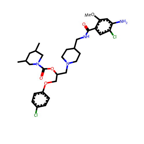 COc1cc(N)c(Cl)cc1C(=O)NCC1CCN(CC(COc2ccc(Cl)cc2)OC(=O)N2CC(C)CC(C)C2)CC1